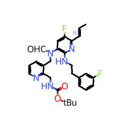 C/C=C/c1nc(NCCc2cccc(F)c2)c(N(C=O)Cc2cccnc2CNC(=O)OC(C)(C)C)cc1F